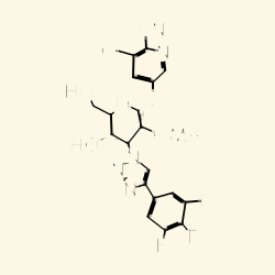 COC1C(n2cc(-c3cc(F)c(F)c(F)c3)nn2)[C@@H](O)C(CO)O[C@@H]1Sc1cnc(C#N)c(Cl)c1